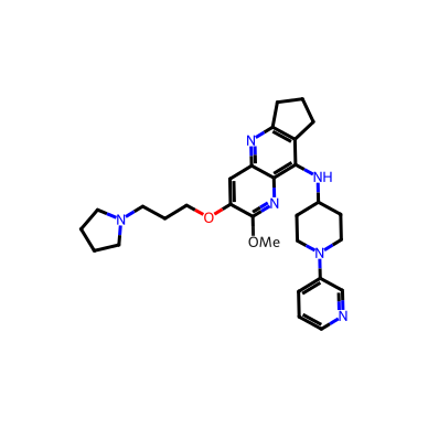 COc1nc2c(NC3CCN(c4cccnc4)CC3)c3c(nc2cc1OCCCN1CCCC1)CCC3